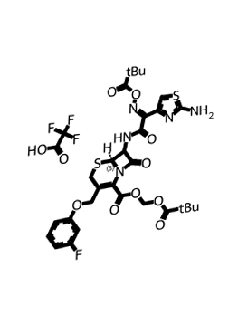 CC(C)(C)C(=O)OCOC(=O)C1=C(COc2cccc(F)c2)CS[C@H]2C(NC(=O)C(=NOC(=O)C(C)(C)C)c3csc(N)n3)C(=O)N12.O=C(O)C(F)(F)F